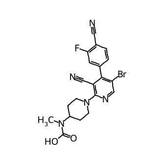 CN(C(=O)O)C1CCN(c2ncc(Br)c(-c3ccc(C#N)c(F)c3)c2C#N)CC1